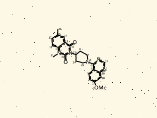 COc1ccc2c(N3CCC(n4c(=O)c5cc(C)ccc5n(C)c4=O)CC3)ncnc2c1